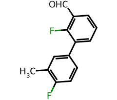 Cc1cc(-c2cccc(C=O)c2F)ccc1F